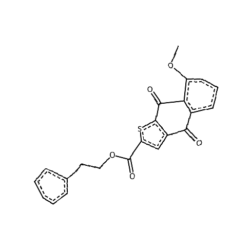 COc1cccc2c1C(=O)c1sc(C(=O)OCCc3ccccc3)cc1C2=O